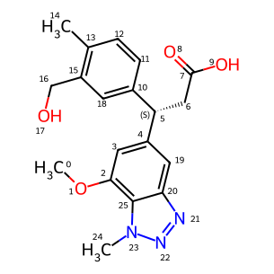 COc1cc([C@@H](CC(=O)O)c2ccc(C)c(CO)c2)cc2nnn(C)c12